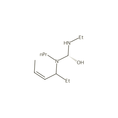 C/C=C\C(CC)N(CCC)[C@@H](O)NCC